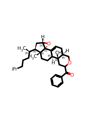 CC(C)CCC[C@@H](C)[C@H]1C[C@@H]2O[C@@]23C2=CC[C@H]4COC(C(=O)c5ccccc5)C[C@]4(C)[C@H]2CC[C@]13C